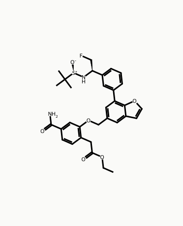 CCOC(=O)Cc1ccc(C(N)=O)cc1OCc1cc(-c2cccc([C@H](CF)N[S@+]([O-])C(C)(C)C)c2)c2occc2c1